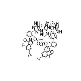 Cn1cc(Nc2nc(N)nc(-c3cccc(-n4ccc5cc(C6CC6)cc(F)c5c4=O)c3COC(=O)/C=C\C(=O)OCc3c(-c4nc(N)nc(Nc5cnn(C)c5)n4)cccc3-n3ccc4cc(C5CC5)cc(F)c4c3=O)n2)cn1